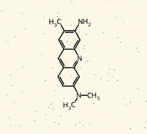 Cc1cc2cc3ccc(N(C)C)cc3nc2cc1N